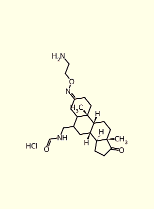 C[C@]12CCC(=NOCCN)CC1C(CNC=O)C[C@@H]1[C@H]2CC[C@]2(C)C(=O)CC[C@@H]12.Cl